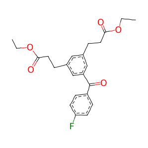 CCOC(=O)CCc1cc(CCC(=O)OCC)cc(C(=O)c2ccc(F)cc2)c1